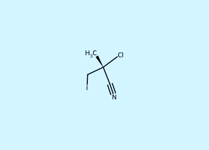 C[C@@](Cl)(C#N)CI